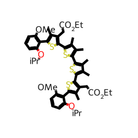 CCOC(=O)Cc1c(-c2sc(-c3sc(-c4sc(-c5c(OC)cccc5OC(C)C)c(C)c4CC(=O)OCC)c(C)c3C)c(C)c2C)sc(-c2c(OC)cccc2OC(C)C)c1C